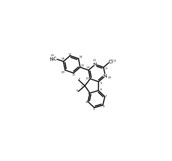 CC1(C)c2ccccc2-c2nc(Cl)nc(-c3ccc(C#N)cc3)c21